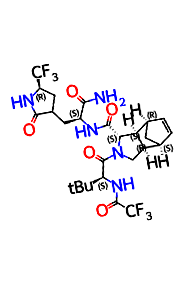 CC(C)(C)[C@H](NC(=O)C(F)(F)F)C(=O)N1C[C@H]2[C@@H]([C@H]1C(=O)N[C@@H](CC1C[C@H](C(F)(F)F)NC1=O)C(N)=O)[C@H]1C=C[C@@H]2C1